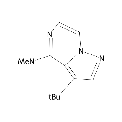 CNc1nccn2ncc(C(C)(C)C)c12